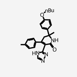 CCCCOc1ccc(C2(C)CC(c3ccc(C)cc3)=C(c3nnc[nH]3)C(=O)N2)cc1